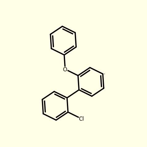 Clc1ccccc1-c1cc[c]cc1Oc1ccccc1